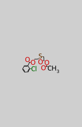 CC(=O)OC1CSC(COC(=O)c2ccccc2Cl)O1